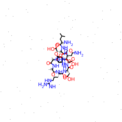 CC(C)C[C@H](NC(=O)[C@H](CC(N)=O)NC(=O)[C@H](CC(=O)O)NC(=O)[C@@H](N)CC(C)C)C(=O)N[C@@H](C)C(=O)N[C@@H](C)C(=O)N[C@@H](CCCNC(=N)N)C(=O)N[C@@H](CC(=O)O)C(=O)N[C@@H](Cc1ccccc1)C(=O)O